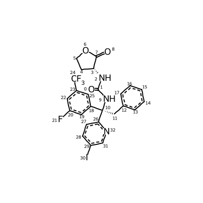 O=C(N[C@@H]1CCOC1=O)N[C@](Cc1ccccc1)(c1cc(F)cc(C(F)(F)F)c1)c1ccc(I)cn1